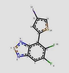 Fc1cc2nsnc2c(-c2cc(I)cs2)c1F